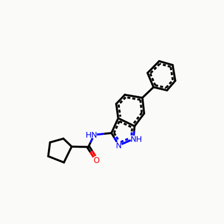 O=C(Nc1n[nH]c2cc(-c3ccccc3)ccc12)C1CCCC1